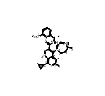 COc1cccc([C@H](C)NC(=O)c2cnc3c(C4CC4)nc(C)cc3c2N2CCN[C@@H](C)CC2)c1